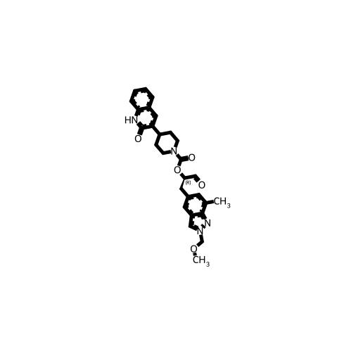 COCn1cc2cc(C[C@H](C=O)OC(=O)N3CCC(c4cc5ccccc5[nH]c4=O)CC3)cc(C)c2n1